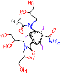 CC(=O)N(CC(O)CO)c1c(I)c(C(N)=O)c(I)c(C(=O)N(CC(O)CO)CC(O)CO)c1I